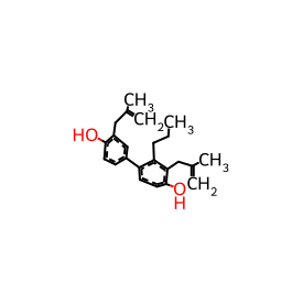 C=C(C)Cc1cc(-c2ccc(O)c(CC(=C)C)c2CCC)ccc1O